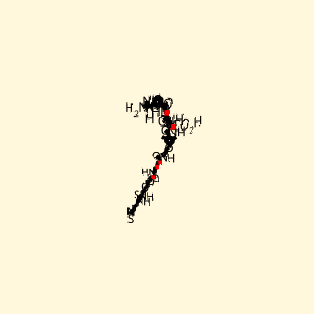 Cc1cc(OCCCNC(=O)CCCCCNC(=O)COCCOCCNC(=S)NCCCCN=C=S)cc(C)c1C(=O)N[C@@H](CNC(=O)CNC(=O)c1cccc(NC(=N)N)c1)C(=O)O